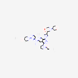 C=CC(=O)N1CCCC1c1nnc(N2CC(C3CN(C4CCOCC4)CCS3(=O)=O)C2C)c2cnc(Nc3ccnc(N4CC[C@@H](OC)[C@@H](F)C4)n3)cc12